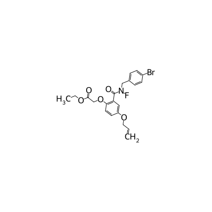 C=CCOc1ccc(OCC(=O)OCC)c(C(=O)N(F)Cc2ccc(Br)cc2)c1